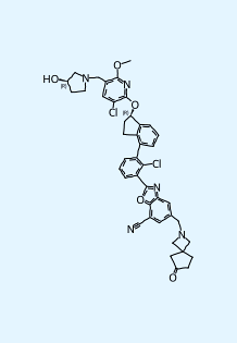 COc1nc(O[C@@H]2CCc3c(-c4cccc(-c5nc6cc(CN7CC8(CCC(=O)C8)C7)cc(C#N)c6o5)c4Cl)cccc32)c(Cl)cc1CN1CC[C@@H](O)C1